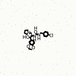 OC(c1ccc2c(c1)OCCO2)[C@@H](CN1CCCC1)N[C@@H](O)NCc1ccc(Cl)cc1